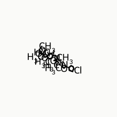 CCOC(=O)C(C)(C)Oc1c(C)cc(CN(C)C(=O)N(C)Cc2nc(-c3ccc(Cl)cc3)oc2C)cc1C